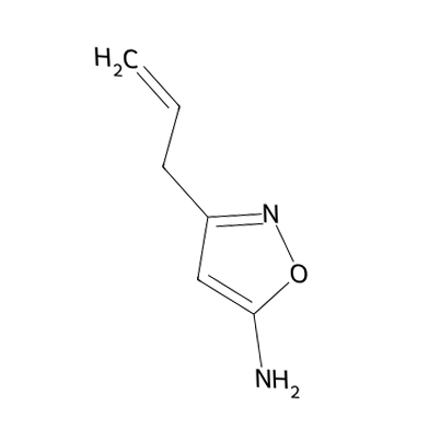 C=CCc1cc(N)on1